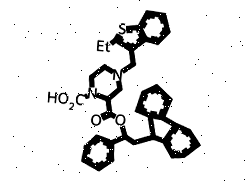 CCc1sc2ccccc2c1CN1CCN(C(=O)O)C(C(=O)OC(CC2c3ccccc3-c3ccccc32)c2ccccc2)C1